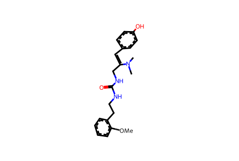 COc1ccccc1CCNC(=O)NC/C(=C/c1ccc(O)cc1)N(C)C